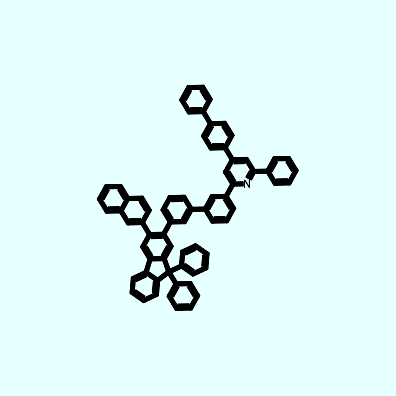 c1ccc(-c2ccc(-c3cc(-c4ccccc4)nc(-c4cccc(-c5cccc(-c6cc7c(cc6-c6ccc8ccccc8c6)-c6ccccc6C7(c6ccccc6)c6ccccc6)c5)c4)c3)cc2)cc1